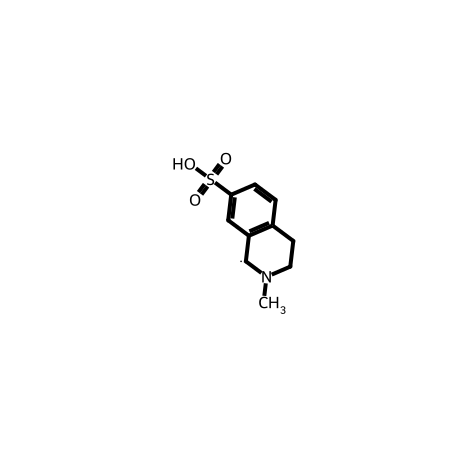 CN1[CH]c2cc(S(=O)(=O)O)ccc2CC1